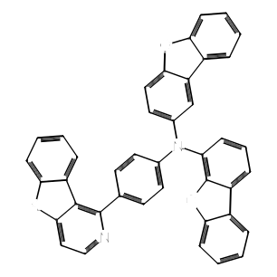 c1ccc2c(c1)oc1ccc(N(c3ccc(-c4nccc5sc6ccccc6c45)cc3)c3cccc4c3oc3ccccc34)cc12